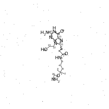 CC(C)(CCCNC(=O)CSc1nc2c(=O)[nH]c(N)nc2n1CCO)OCN